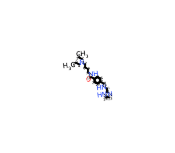 CCCN(CCC)CCCCNC(=O)c1ccc(CNCc2ncc[nH]2)cc1